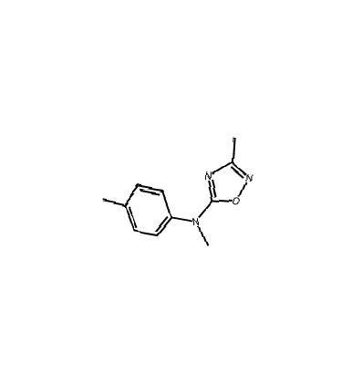 Cc1ccc(N(C)c2nc(C)no2)cc1